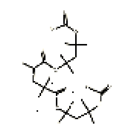 CC(CC(C)(C)C(=O)OC(C)(C)CC(C)(C)OC(=O)Br)C(=O)OC(C)(C)CC(C)(C)OC(=O)Br